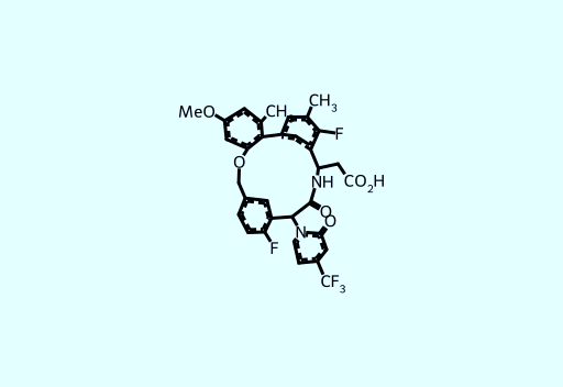 COc1cc(C)c2c(c1)OCc1ccc(F)c(c1)C(n1ccc(C(F)(F)F)cc1=O)C(=O)NC(CC(=O)O)c1cc-2cc(C)c1F